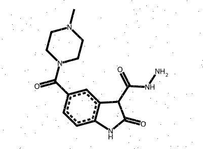 CN1CCN(C(=O)c2ccc3c(c2)C(C(=O)NN)C(=O)N3)CC1